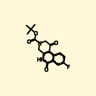 CC(C)(C)OC(=O)N1CC(=O)c2c([nH]c(=O)c3cc(F)ccc23)C1